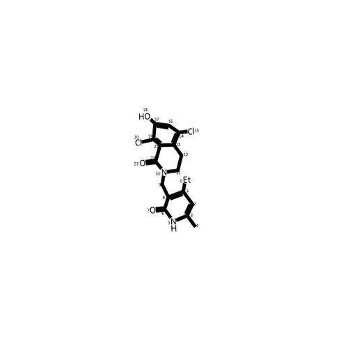 CCc1cc(C)[nH]c(=O)c1CN1CCc2c(Cl)cc(O)c(Cl)c2C1=O